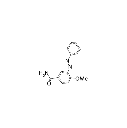 COc1ccc(C(N)=O)cc1N=Nc1ccccc1